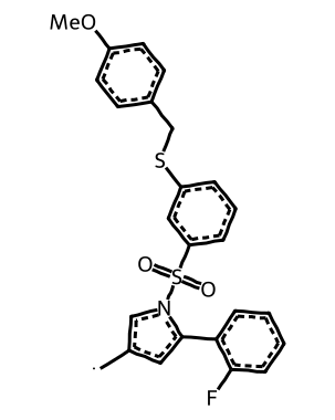 [CH2]c1cc(-c2ccccc2F)n(S(=O)(=O)c2cccc(SCc3ccc(OC)cc3)c2)c1